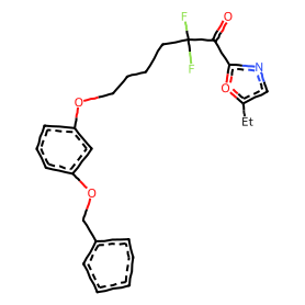 CCc1cnc(C(=O)C(F)(F)CCCCOc2cccc(OCc3ccccc3)c2)o1